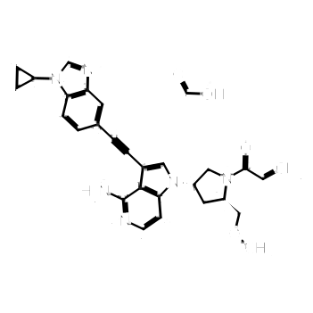 C=CC(=O)N1C[C@@H](n2cc(C#Cc3ccc4c(c3)ncn4C3CC3)c3c(N)nccc32)C[C@@H]1COC.O=CO